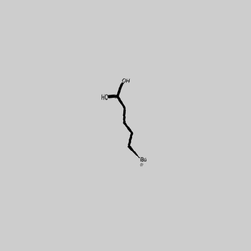 CC[C@H](C)CCCCC(O)O